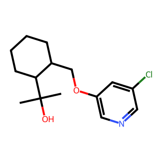 CC(C)(O)C1CCCCC1COc1cncc(Cl)c1